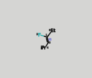 CC/C(F)=C/C(C)C